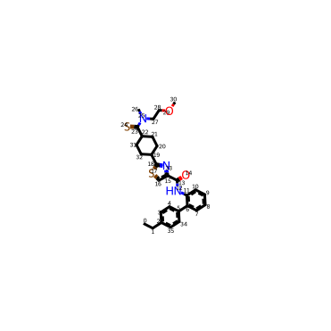 CCc1ccc(-c2ccccc2NC(=O)c2csc(C3CCC(C(=S)N(C)CCOC)CC3)n2)cc1